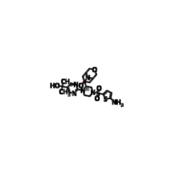 CC(C)(O)c1cnc(N2CCN(S(=O)(=O)c3ccc(N)s3)C[C@@H]2CN2C3COCC2CC(=O)C3)nc1